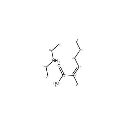 CCCC=C(C)C(=O)O.CCNCC